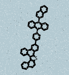 c1ccc2cc(-c3c4ccccc4c(-c4ccc(-c5ccc6c(c5)c5ccccc5c5c6sc6ccc7ccccc7c65)cc4)c4ccccc34)ccc2c1